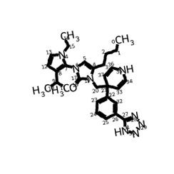 CCCCc1cn(-c2c(C(C)C)ccn2CC)c(=O)n1CC1(c2cccc(-c3nnn[nH]3)c2)C=CNC=C1